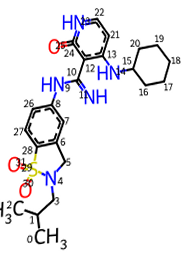 CC(C)CN1Cc2cc(NC(=N)c3c(NC4CCCCC4)cc[nH]c3=O)ccc2S1(=O)=O